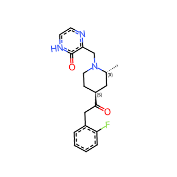 C[C@@H]1C[C@@H](C(=O)Cc2ccccc2F)CCN1Cc1ncc[nH]c1=O